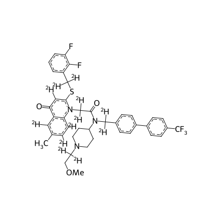 [2H]c1c(C)c([2H])c2c(=O)c([2H])c(SC([2H])([2H])c3cccc(F)c3F)n(C([2H])([2H])C(=O)N(C3CCN(C([2H])([2H])COC)CC3)C([2H])([2H])c3ccc(-c4ccc(C(F)(F)F)cc4)cc3)c2c1[2H]